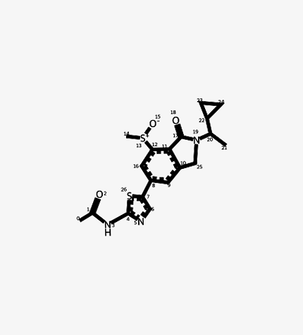 CC(=O)Nc1ncc(-c2cc3c(c([S+](C)[O-])c2)C(=O)N(C(C)C2CC2)C3)s1